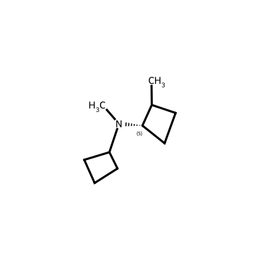 CC1CC[C@@H]1N(C)C1CCC1